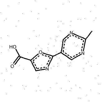 Cc1ncc(-c2ncc(C(=O)O)o2)cn1